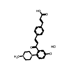 CN1CCN(c2ccc(Cl)cc2C(=O)/C=C/c2ccc(/C=C/C(=O)O)cc2)CC1.Cl